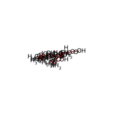 CCN(C(=O)CN)C1COC(OC2C(O[C@H]3C#C/C=C\C#C[C@]4(O)CC(=O)C(NC(=O)OC)C3/C4=C\CSSC(C)(C)CC(=O)NCCOCCOCCOCCO)OC(C)C(NOC3CC(O)C(SC(=O)c4c(C)c(I)c(OC5OC(C)C(O)C(OC)C5O)c(OC)c4OC)C(C)O3)C2O)CC1OC